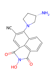 N#Cc1cc2c3c(cccc3c1N1CC[C@H](N)C1)C(=O)N(O)C2=O